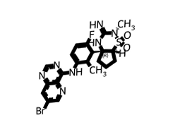 CC1C(Nc2ncnc3cc(Br)cnc23)=CC=C(F)C1[C@]12CCC[C@H]1S(=O)(=O)N(C)C(=N)N2